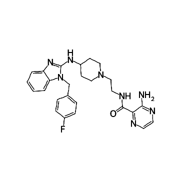 Nc1nccnc1C(=O)NCCN1CCC(Nc2nc3ccccc3n2Cc2ccc(F)cc2)CC1